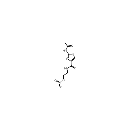 CC(=O)Nc1nc(C(=O)NCCO[N+](=O)[O-])cs1